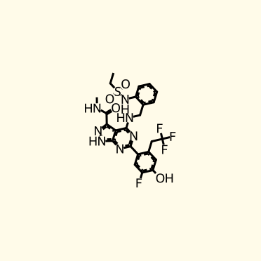 CCS(=O)(=O)Nc1ccccc1CNc1nc(-c2cc(F)c(O)cc2CC(F)(F)F)nc2[nH]nc(C(=O)NC)c12